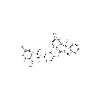 O=C(N[C@H]1CC[C@H](CN2C(=O)C(O)(c3ccccc3)c3cc(F)ccc32)CC1)c1cc(Cl)cnc1C(F)F